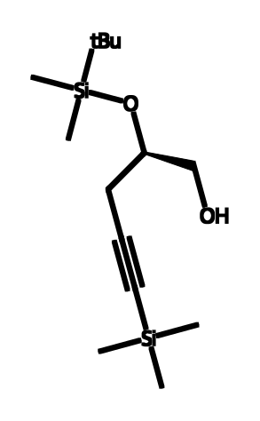 CC(C)(C)[Si](C)(C)O[C@@H](CO)CC#C[Si](C)(C)C